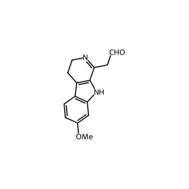 COc1ccc2c3c([nH]c2c1)C(CC=O)=NCC3